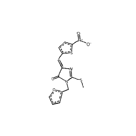 CSC1=NC(=Cc2ccc([N+](=O)[O-])s2)C(=O)N1Cc1ccco1